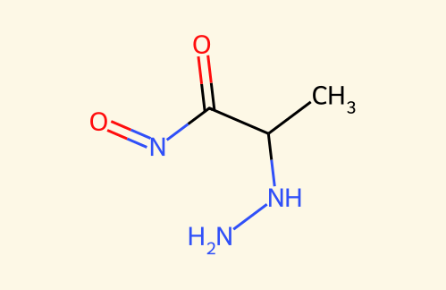 CC(NN)C(=O)N=O